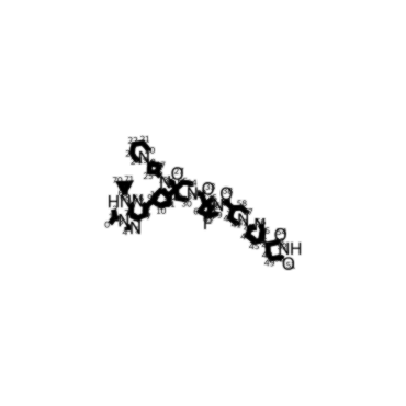 CC(C)n1cnc2cc(-c3ccc4c(c3)N(C3CC(N5CCCCC5)C3)C(=O)C43CCN(C(=O)C45CN(C(=O)C6CCN(c7ccc([C@H]8CCC(=O)NC8=O)cn7)CC6)CC(F)(C4)C5)CC3)nc(NC3CC3)c21